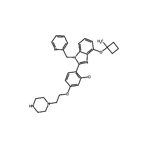 CC1(Oc2cccc3c2nc(-c2ccc(OCCN4CCNCC4)cc2Cl)n3Cc2ccccn2)CCC1